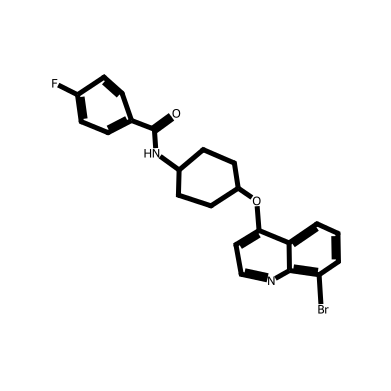 O=C(NC1CCC(Oc2ccnc3c(Br)cccc23)CC1)c1ccc(F)cc1